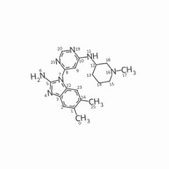 Cc1cc2nc(N)n(-c3cc(NC4CCCN(C)C4)ncn3)c2cc1C